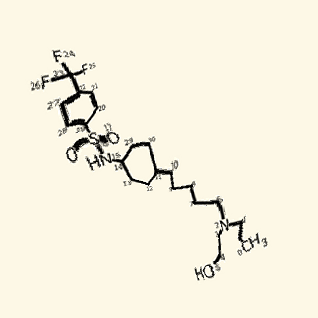 CCN(CCO)CCCCCC1CCC(NS(=O)(=O)c2ccc(C(F)(F)F)cc2)CC1